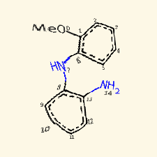 COc1ccccc1Nc1ccccc1N